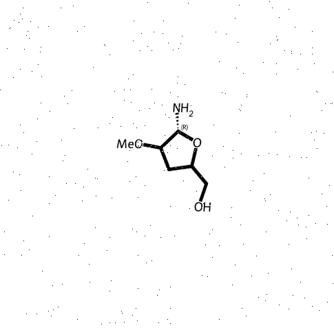 COC1CC(CO)O[C@H]1N